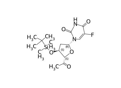 CC(=O)[C@H]1O[C@@H](n2cc(F)c(=O)[nH]c2=O)C[C@@H]1O[Si](C)(C)C(C)(C)C